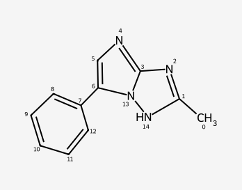 Cc1nc2ncc(-c3ccccc3)n2[nH]1